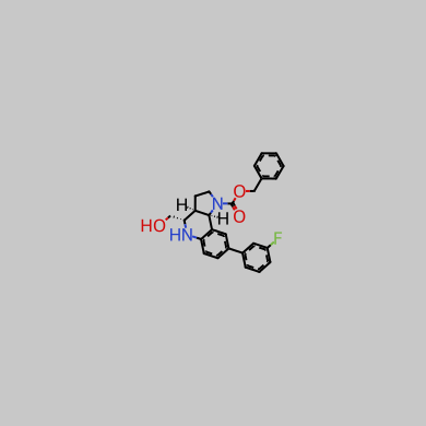 O=C(OCc1ccccc1)N1CC[C@@H]2[C@@H](CO)Nc3ccc(-c4cccc(F)c4)cc3[C@@H]21